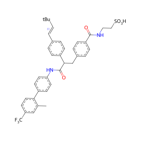 Cc1cc(C(F)(F)F)ccc1-c1ccc(NC(=O)C(Cc2ccc(C(=O)NCCS(=O)(=O)O)cc2)c2ccc(/C=C/C(C)(C)C)cc2)cc1